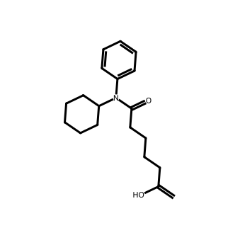 C=C(O)CCCCC(=O)N(c1ccccc1)C1CCCCC1